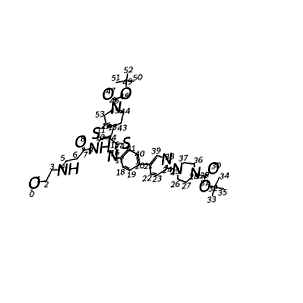 COCCNCCC(=O)Nc1sc2c(c1-c1nc3ccc(-c4ccc(N5CCN(C(=O)OC(C)(C)C)CC5)nc4)cc3s1)CCN(C(=O)OC(C)(C)C)C2